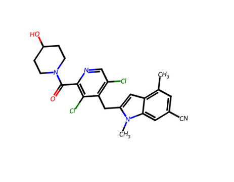 Cc1cc(C#N)cc2c1cc(Cc1c(Cl)cnc(C(=O)N3CCC(O)CC3)c1Cl)n2C